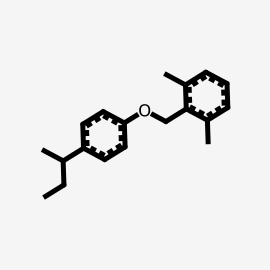 CCC(C)c1ccc(OCc2c(C)cccc2C)cc1